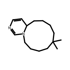 CC1(C)CCCCC2C=CN=CN2CCCC1